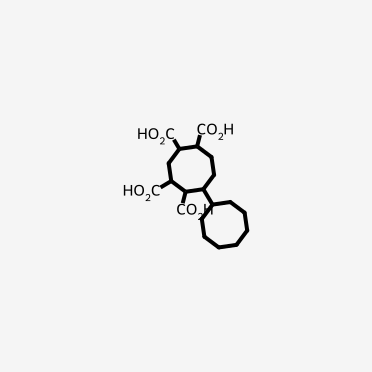 O=C(O)C1CCC(C2CCCCCCC2)C(C(=O)O)C(C(=O)O)CC1C(=O)O